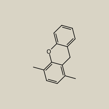 Cc1ccc(C)c2c1Cc1ccccc1O2